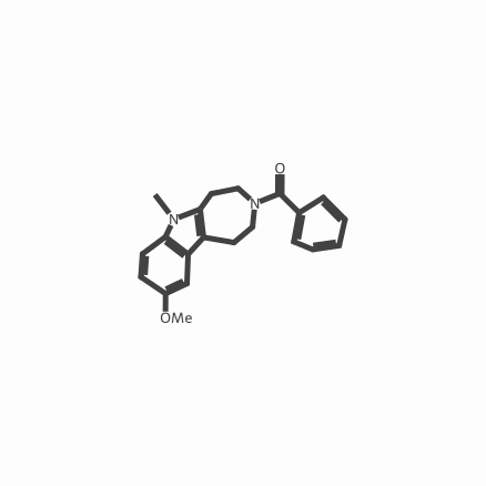 COc1ccc2c(c1)c1c(n2C)CCN(C(=O)c2ccccc2)CC1